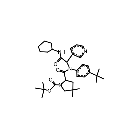 CC1(C)CC(C(=O)N(c2ccc(C(C)(C)C)cc2)C(C(=O)NC2CCCCC2)c2cccnc2)N(C(=O)OC(C)(C)C)C1